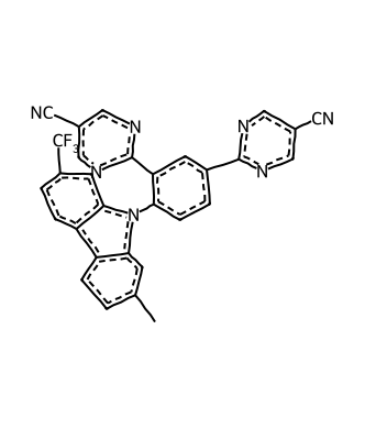 Cc1ccc2c3ccc(C(F)(F)F)cc3n(-c3ccc(-c4ncc(C#N)cn4)cc3-c3ncc(C#N)cn3)c2c1